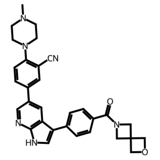 CN1CCN(c2ccc(-c3cnc4[nH]cc(-c5ccc(C(=O)N6CC7(COC7)C6)cc5)c4c3)cc2C#N)CC1